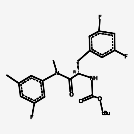 Cc1cc(F)cc(N(C)C(=O)[C@H](Cc2cc(F)cc(F)c2)NC(=O)OC(C)(C)C)c1